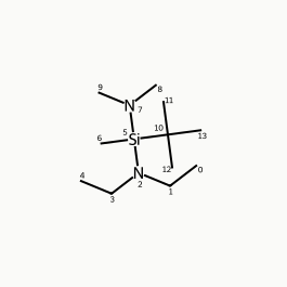 CCN(CC)[Si](C)(N(C)C)C(C)(C)C